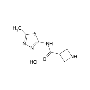 Cc1nnc(NC(=O)C2CNC2)s1.Cl